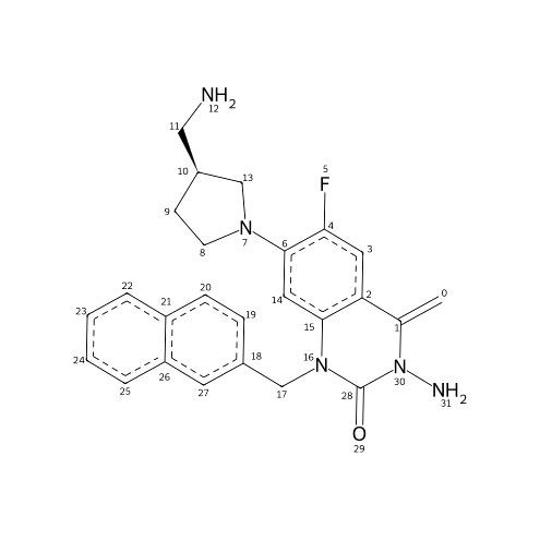 C=C1c2cc(F)c(N3CC[C@@H](CN)C3)cc2N(Cc2ccc3ccccc3c2)C(=O)N1N